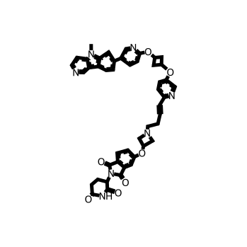 Cn1c2ccncc2c2ccc(-c3ccc(OC4CC(Oc5ccc(C#CCCN6CC(Oc7ccc8c(c7)C(=O)N(C7CCC(=O)NC7=O)C8=O)C6)nc5)C4)nc3)cc21